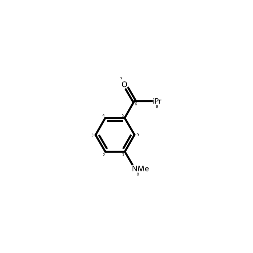 CNc1cccc(C(=O)C(C)C)c1